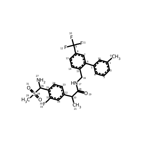 Cc1cccc(-c2cc(C(F)(F)F)ccc2CNC(=O)C(C)c2ccc(C(N)S(C)(=O)=O)c(F)c2)c1